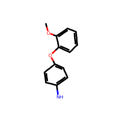 COc1ccccc1Oc1ccc([NH])cc1